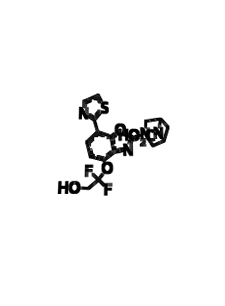 O=C(O)N1C2CC1CN(c1nc3c(OC(F)(F)CO)ccc(-c4nccs4)c3o1)C2